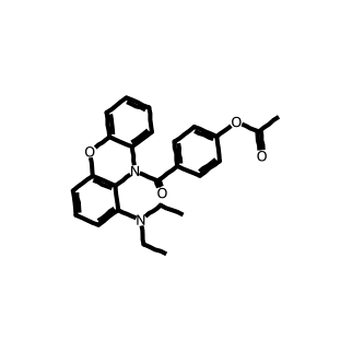 CCN(CC)c1cccc2c1N(C(=O)c1ccc(OC(C)=O)cc1)c1ccccc1O2